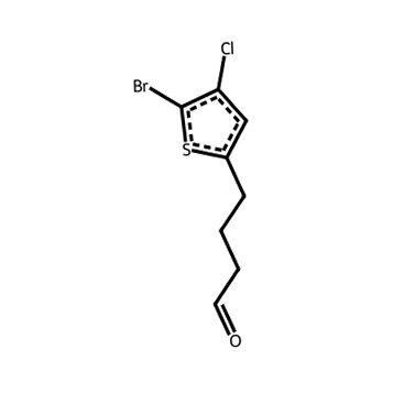 O=CCCCc1cc(Cl)c(Br)s1